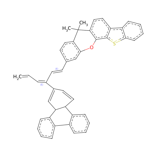 C=C/C=C(\C=C\c1ccc2c(c1)Oc1c(ccc3c1sc1ccccc13)C2(C)C)C1=CC2c3ccccc3-c3ccccc3C2C=C1